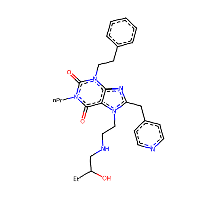 CCCn1c(=O)c2c(nc(Cc3ccncc3)n2CCNCC(O)CC)n(CCc2ccccc2)c1=O